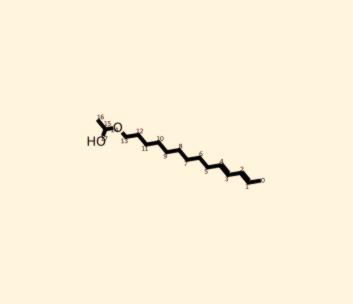 C/C=C/C=C/CCCCCCCCCOC(C)O